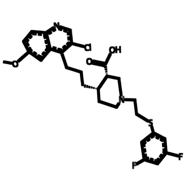 COc1ccc2ncc(Cl)c(CCC[C@H]3CCN(CCSc4cc(F)cc(F)c4)C[C@H]3C(=O)O)c2c1